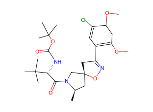 COC1=C(C2=NO[C@]3(C2)C[C@@H](C)N(C(=O)[C@@H](NC(=O)OC(C)(C)C)C(C)(C)C)C3)C=C(Cl)C(OC)C1